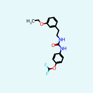 CCOc1cccc(CCNC(=O)Nc2ccc(OC(F)F)cc2)c1